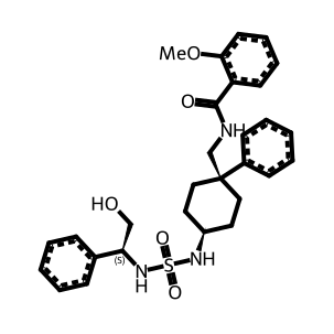 COc1ccccc1C(=O)NC[C@]1(c2ccccc2)CC[C@H](NS(=O)(=O)N[C@H](CO)c2ccccc2)CC1